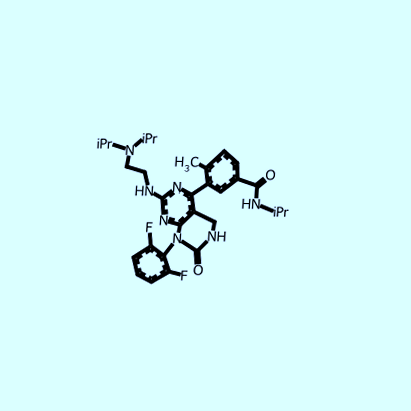 Cc1ccc(C(=O)NC(C)C)cc1-c1nc(NCCN(C(C)C)C(C)C)nc2c1CNC(=O)N2c1c(F)cccc1F